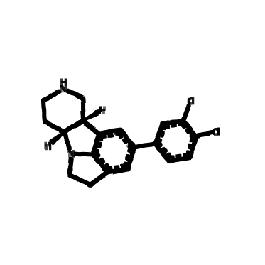 Clc1ccc(-c2cc3c4c(c2)[C@H]2CNCC[C@H]2N4CC3)cc1Cl